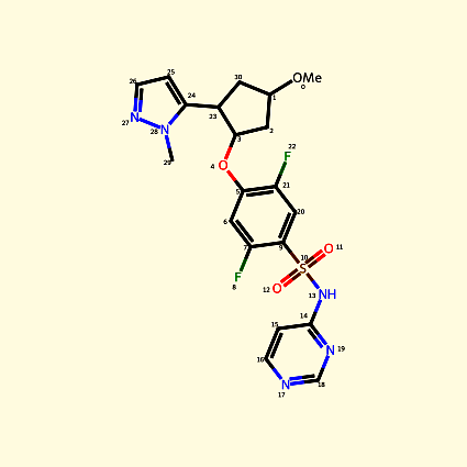 COC1CC(Oc2cc(F)c(S(=O)(=O)Nc3ccncn3)cc2F)C(c2ccnn2C)C1